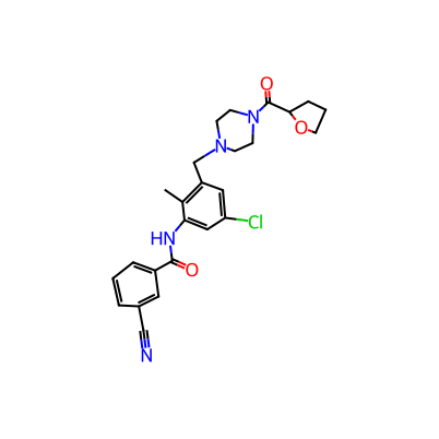 Cc1c(CN2CCN(C(=O)C3CCCO3)CC2)cc(Cl)cc1NC(=O)c1cccc(C#N)c1